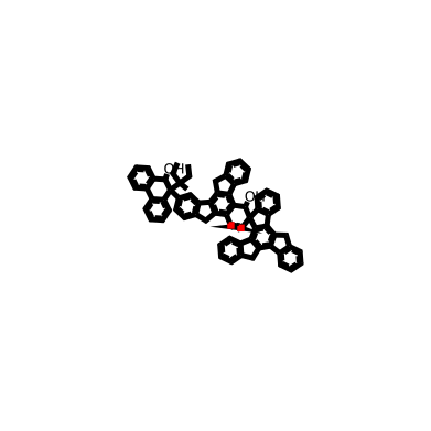 CCC(C)(CC)C1(c2ccc3c(c2)-c2c4c(c5c(c2C3)-c2ccccc2C2(c3ccccc3-c3c6c(c7c(c32)-c2ccccc2C7)-c2ccccc2C6)C5O)-c2ccccc2C4)c2ccccc2-c2ccccc2C1O